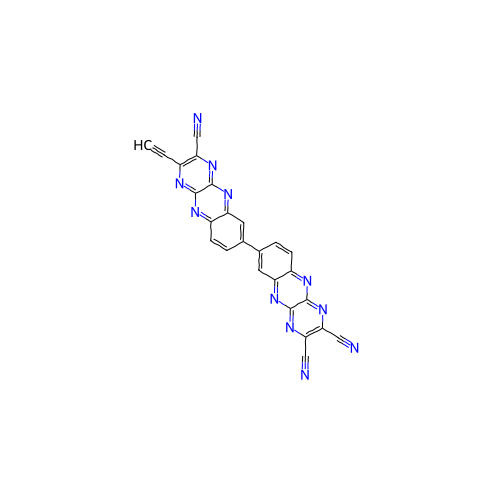 C#Cc1nc2nc3ccc(-c4ccc5nc6nc(C#N)c(C#N)nc6nc5c4)cc3nc2nc1C#N